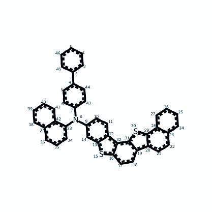 c1ccc(-c2ccc(N(c3ccc4c(c3)sc3ccc5c6ccc7ccccc7c6sc5c34)c3cccc4ccccc34)cc2)cc1